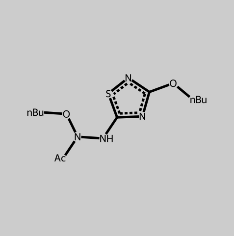 CCCCOc1nsc(NN(OCCCC)C(C)=O)n1